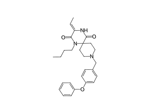 C/C=C1\NC(=O)C2(CCN(Cc3ccc(Oc4ccccc4)cc3)CC2)N(CCCC)C1=O